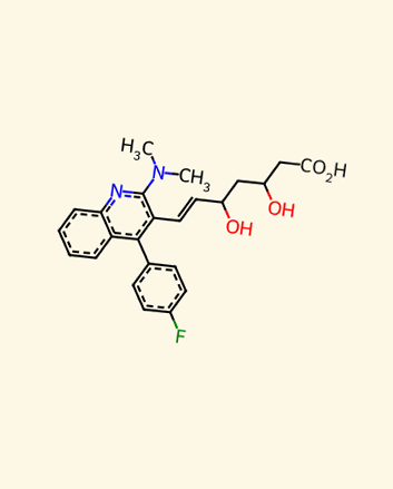 CN(C)c1nc2ccccc2c(-c2ccc(F)cc2)c1C=CC(O)CC(O)CC(=O)O